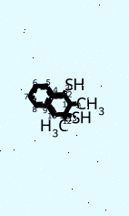 CC1C(S)=c2ccccc2=CC1(C)S